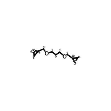 C(COCC1CS1)COCC1CS1